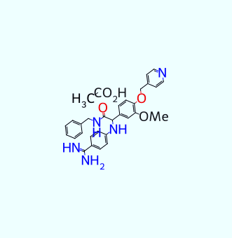 CC(=O)O.COc1cc(C(Nc2ccc(C(=N)N)cc2)C(=O)NCc2ccccc2)ccc1OCc1ccncc1